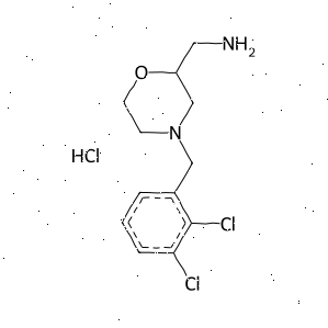 Cl.NCC1CN(Cc2cccc(Cl)c2Cl)CCO1